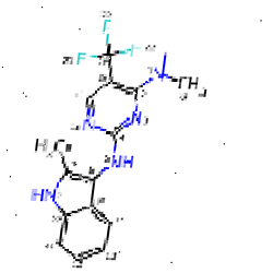 CNc1nc(Nc2c(C)[nH]c3ccccc23)ncc1C(F)(F)F